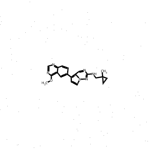 COc1ncnc2ccc(-c3ccn4nc(NCC5(C)CC5)ncc34)cc12